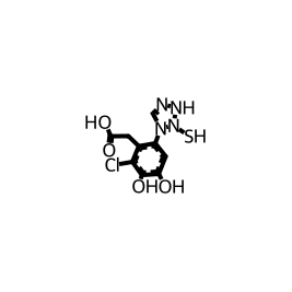 O=C(O)Cc1c(N2C=NNN2S)cc(O)c(O)c1Cl